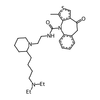 CCN(CC)CCCCC1CCCCN1CCNC(=O)N1c2ccccc2CC(=O)c2csc(C)c21